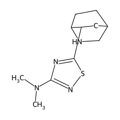 CN(C)c1nsc(C2CC3CCC2NC3)n1